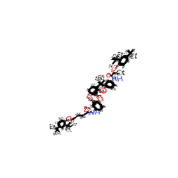 CCC(Oc1ccc(C(C)(C)CC)cc1C(C)(C)CC)C(=O)Nc1ccc(Oc2c(C(C)(C)CC(C)(C)C)ccc([O])c2Oc2ccc(NC(=O)CCCOc3ccc(C(C)(C)CC)cc3C(C)(C)CC)cc2)cc1